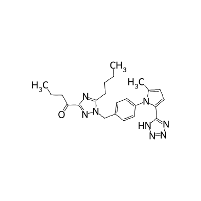 CCCCc1nc(C(=O)CCC)nn1Cc1ccc(-n2c(C)ccc2-c2nnn[nH]2)cc1